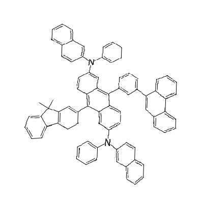 CC1(C)C2=C(CCC(c3c4cc(N(c5ccccc5)c5ccc6ccccc6c5)ccc4c(-c4cccc(-c5cc6ccccc6c6ccccc56)c4)c4cc(N(C5=CCCC=C5)c5ccc6ccccc6c5)ccc34)=C2)c2ccccc21